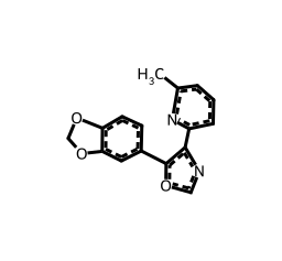 Cc1cccc(-c2ncoc2-c2ccc3c(c2)OCO3)n1